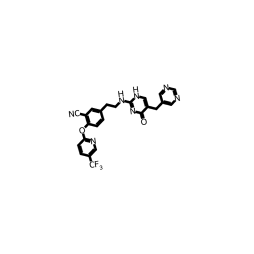 N#Cc1cc(CCNc2nc(=O)c(Cc3cncnc3)c[nH]2)ccc1Oc1ccc(C(F)(F)F)cn1